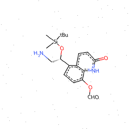 CC(C)(C)[Si](C)(C)O[C@@H](CN)c1ccc(OC=O)c2[nH]c(=O)ccc12